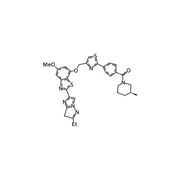 CCC1=Nn2cc(-c3nc4cc(OC)cc(OCc5csc(-c6ccc(C(=O)N7CCC[C@H](C)C7)cc6)n5)c4s3)nc2C1